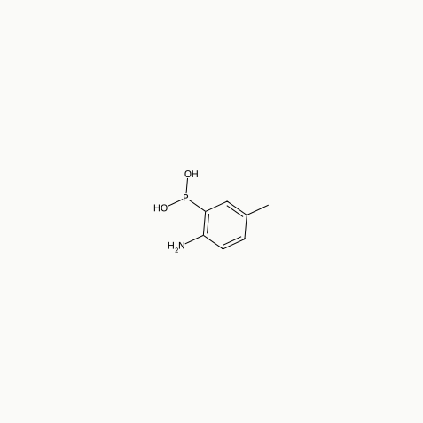 Cc1ccc(N)c(P(O)O)c1